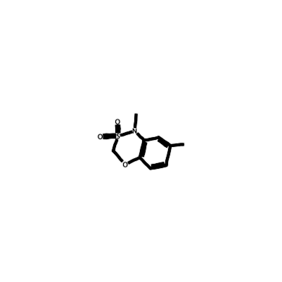 Cc1ccc2c(c1)N(C)S(=O)(=O)CO2